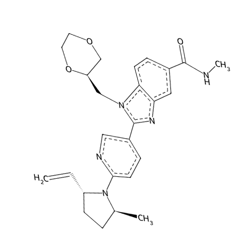 C=C[C@H]1CC[C@H](C)N1c1ccc(-c2nc3cc(C(=O)NC)ccc3n2C[C@@H]2COCCO2)cn1